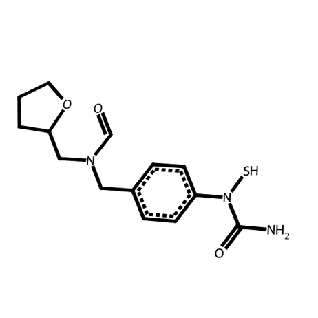 NC(=O)N(S)c1ccc(CN(C=O)CC2CCCO2)cc1